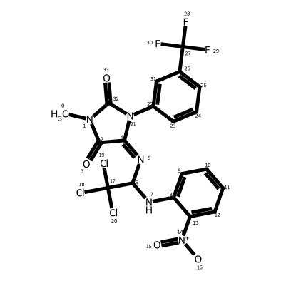 CN1C(=O)C(=NC(Nc2ccccc2[N+](=O)[O-])C(Cl)(Cl)Cl)N(c2cccc(C(F)(F)F)c2)C1=O